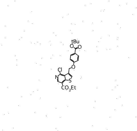 CCOC(=O)c1cnc(Cl)c2c(COc3ccc(C(=O)OC(C)(C)C)cc3)csc12